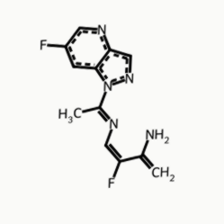 C=C(N)/C(F)=C\N=C(/C)n1ncc2ncc(F)cc21